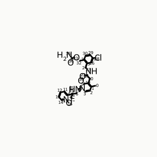 Cc1ccn(NCC(F)(F)c2cccc[n+]2[O-])c(=O)c1CC(=O)NCc1cc(Cl)ccc1COC(N)=O